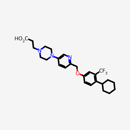 O=C(O)CCN1CCN(c2ccc(COc3ccc(C4CCCCC4)c(C(F)(F)F)c3)nc2)CC1